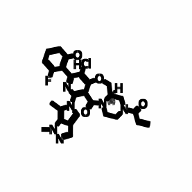 C=CC(=O)N1CCN2C(=O)c3c(-n4cc5cnn(C)c5c4C)nc(-c4c(O)cccc4F)c(Cl)c3OC[C@H]2C1